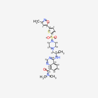 Cc1cc(-c2ccc(S(=O)(=O)N3CCN(CC(C)Nc4ncnc5c(C(=O)N(C)C)cccc45)CC3)s2)on1